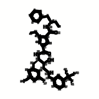 CCN(Cc1ccccc1)NC(=O)c1cc(C(=O)N[C@@H](Cc2cc(F)cc(F)c2)[C@@H](O)CNCc2cccc(C(F)(F)F)c2)nn1CC